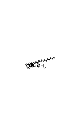 CCCCCCCCCCCCCCCC(Cc1ccccc1)N(C)C.O